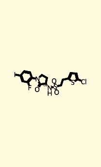 O=C1[C@@H](NS(=O)(=O)CCc2ccc(Cl)s2)CCN1c1ccc(I)cc1F